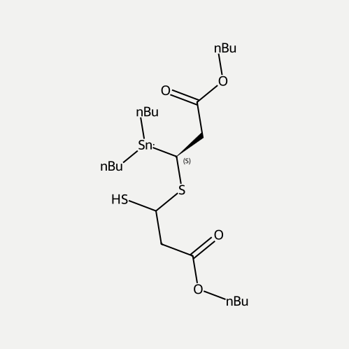 CCCCOC(=O)CC(S)S[C@H](CC(=O)OCCCC)[Sn]([CH2]CCC)[CH2]CCC